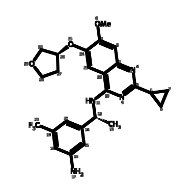 COc1cc2nc(C3CC3)nc(N[C@H](C)c3cc(N)cc(C(F)(F)F)c3)c2cc1O[C@H]1CCOC1